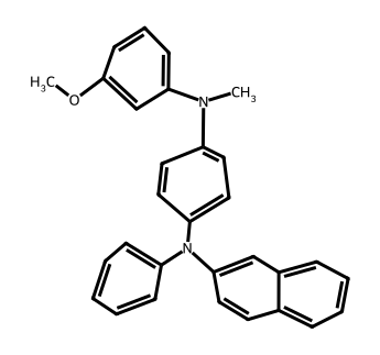 COc1cccc(N(C)c2ccc(N(c3ccccc3)c3ccc4ccccc4c3)cc2)c1